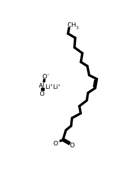 CCCCCCCC/C=C\CCCCCCCC(=O)[O-].[Li+].[Li+].[O]=[Al][O-]